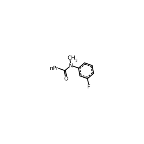 CCCC(=O)N(C)c1cccc(F)c1